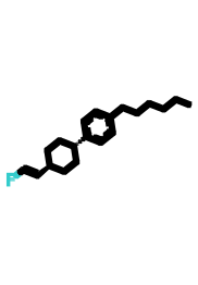 CCCCCCc1ccc([C@H]2CC[C@H](C=CF)CC2)cc1